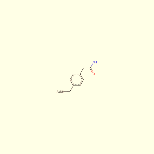 CC(=O)NCc1ccc(CC([NH])=O)cc1